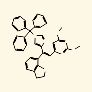 COc1cc(/C=C(\c2cn(C(c3ccccc3)(c3ccccc3)c3ccccc3)cn2)c2cccc3c2OCC3)nc(OC)n1